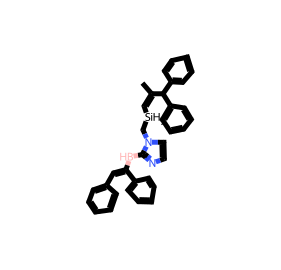 CC(=C[SiH2]Cn1ccnc1BC(=Cc1ccccc1)c1ccccc1)C(c1ccccc1)c1ccccc1